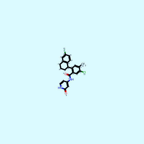 O=C(Nc1cc[nH]c(=O)c1)c1cc(Cl)c(C(F)(F)F)cc1C1CCCc2cc(F)ccc21